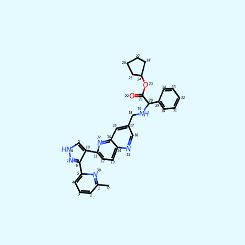 Cc1cccc(-c2n[nH]cc2-c2ccc3ncc(CNC(C(=O)OC4CCCC4)c4ccccc4)cc3n2)n1